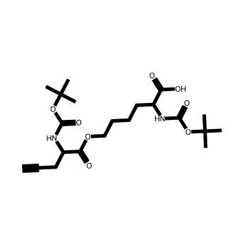 C#CCC(NC(=O)OC(C)(C)C)C(=O)OCCCCC(NC(=O)OC(C)(C)C)C(=O)O